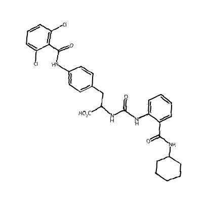 O=C(Nc1ccccc1C(=O)NC1CCCCC1)NC(Cc1ccc(NC(=O)c2c(Cl)cccc2Cl)cc1)C(=O)O